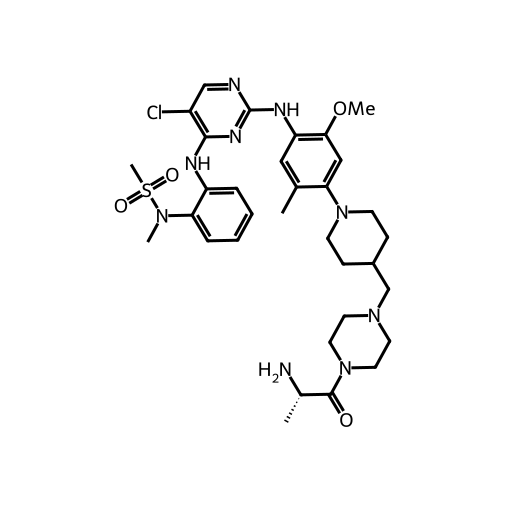 COc1cc(N2CCC(CN3CCN(C(=O)[C@H](C)N)CC3)CC2)c(C)cc1Nc1ncc(Cl)c(Nc2ccccc2N(C)S(C)(=O)=O)n1